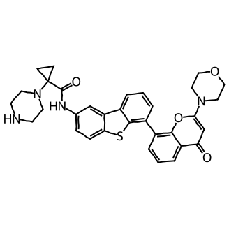 O=C(Nc1ccc2sc3c(-c4cccc5c(=O)cc(N6CCOCC6)oc45)cccc3c2c1)C1(N2CCNCC2)CC1